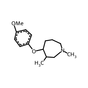 COc1ccc(OC2CCCN(C)CC2C)cc1